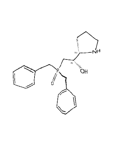 O=P(Cc1ccccc1)(Cc1ccccc1)C[C@@H](O)[C@@H]1CCCN1